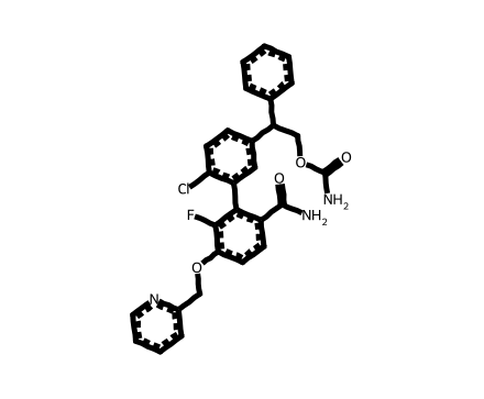 NC(=O)OCC(c1ccccc1)c1ccc(Cl)c(-c2c(C(N)=O)ccc(OCc3ccccn3)c2F)c1